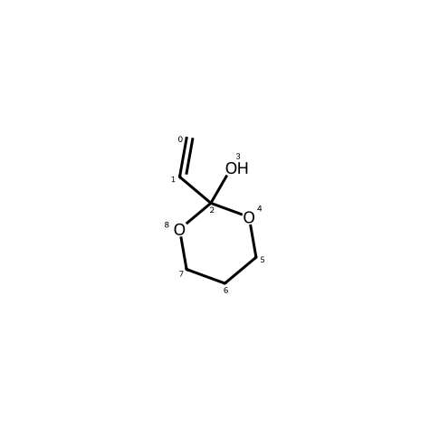 C=CC1(O)OCCCO1